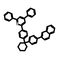 c1ccc(-c2cc(-c3ccccc3)nc(-c3ccc(C4(c5ccc(-c6ccc7ccccc7c6)cc5)CCCCC4)cc3)c2)cc1